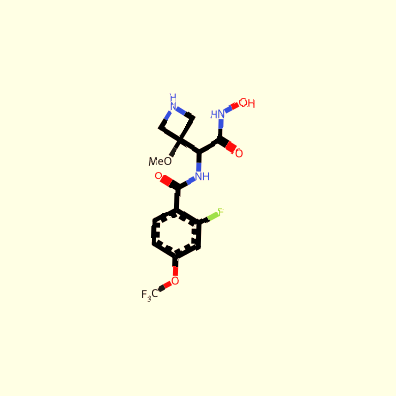 COC1(C(NC(=O)c2ccc(OC(F)(F)F)cc2F)C(=O)NO)CNC1